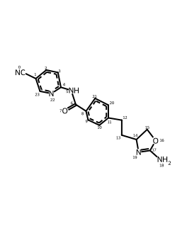 N#Cc1ccc(NC(=O)c2ccc(CCC3COC(N)=N3)cc2)nc1